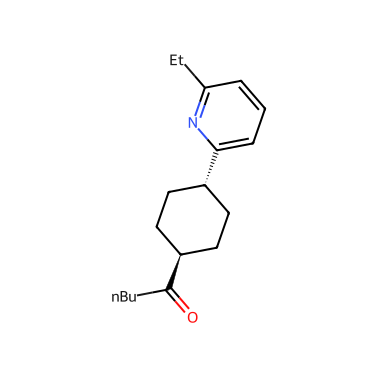 CCCCC(=O)[C@H]1CC[C@H](c2cccc(CC)n2)CC1